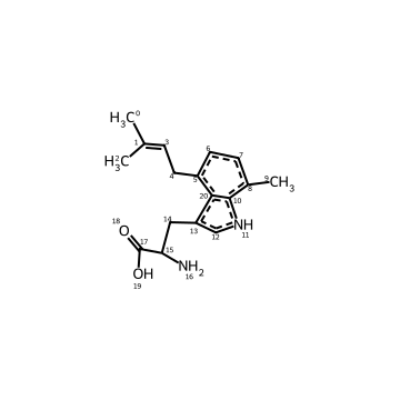 CC(C)=CCc1ccc(C)c2[nH]cc(CC(N)C(=O)O)c12